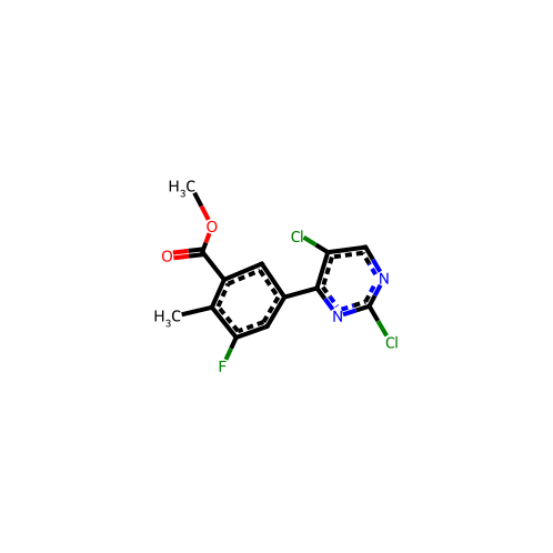 COC(=O)c1cc(-c2nc(Cl)ncc2Cl)cc(F)c1C